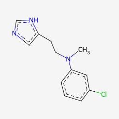 CN(CCc1cnc[nH]1)c1cccc(Cl)c1